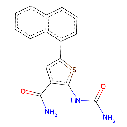 NC(=O)Nc1sc(-c2cccc3ccccc23)cc1C(N)=O